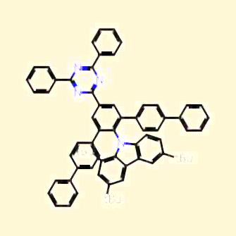 CC(C)(C)c1ccc2c(c1)c1cc(C(C)(C)C)cc(C(C)(C)C)c1n2-c1c(-c2ccc(-c3ccccc3)cc2)cc(-c2nc(-c3ccccc3)nc(-c3ccccc3)n2)cc1-c1ccc(-c2ccccc2)cc1